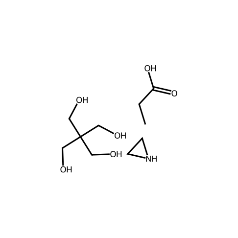 C1CN1.CCC(=O)O.OCC(CO)(CO)CO